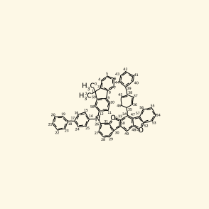 CC1(C)c2ccccc2-c2ccc(N(c3ccc(-c4ccccc4)cc3)c3cccc4c3oc3c(C5C=CC(c6ccccc6)=CC5)c5c(cc34)oc3ccccc35)cc21